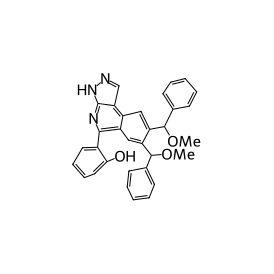 COC(c1ccccc1)c1cc2c(-c3ccccc3O)nc3[nH]ncc3c2cc1C(OC)c1ccccc1